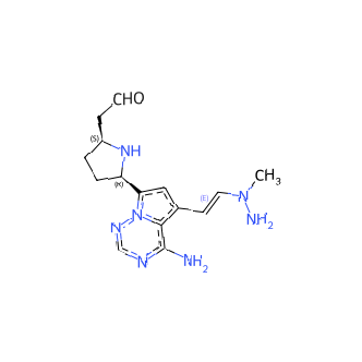 CN(N)/C=C/c1cc([C@H]2CC[C@@H](CC=O)N2)n2ncnc(N)c12